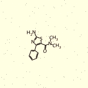 CN(C)C(=O)c1sc(N)nc1-c1ccccc1